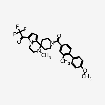 COc1ccc(-c2ccc(C(=O)N3CCC4(CC3)c3ccc(C(=O)C(F)(F)F)n3CCN4C)cc2C)cc1